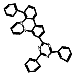 C1=CB2c3c(-c4ccccc4)cccc3-c3ccc(-c4nc(-c5ccccc5)nc(-c5ccccc5)n4)cc3N2C=C1